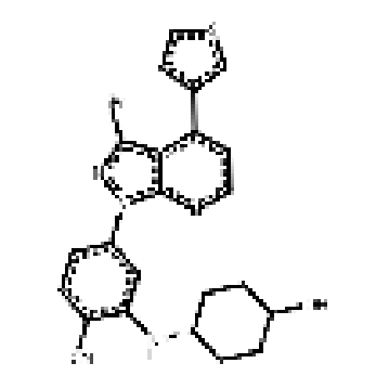 CC(C)c1nn(-c2ccc(C#N)c(N[C@H]3CC[C@H](O)CC3)c2)c2nccc(-c3ccsc3)c12